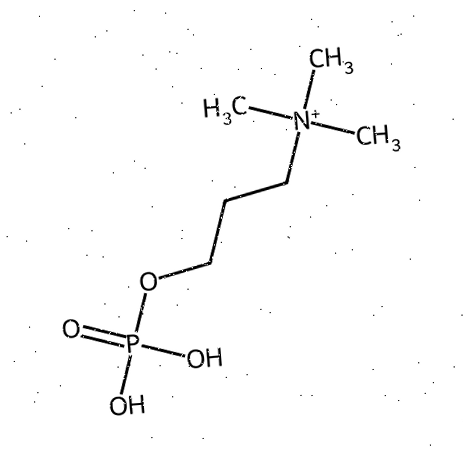 C[N+](C)(C)CCCOP(=O)(O)O